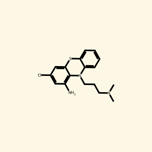 CN(C)CCCN1c2ccccc2Sc2cc(Cl)cc(N)c21